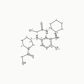 O=C(CCl)N[C@@H]1CCCC[C@H]1Nc1nc(N[C@H]2CCCN(C(=O)CO)C2)ncc1C(F)(F)F